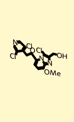 COc1ccc(C(=O)Cc2c(Cl)cncc2Cl)n2c(Cl)c(CO)nc12